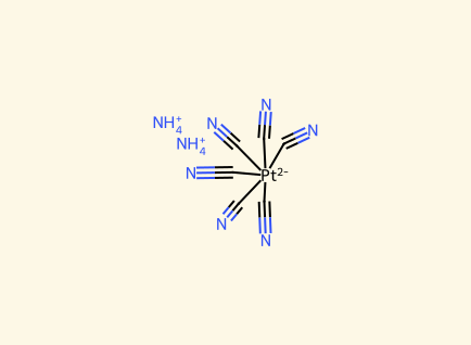 N#[C][Pt-2]([C]#N)([C]#N)([C]#N)([C]#N)[C]#N.[NH4+].[NH4+]